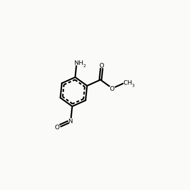 COC(=O)c1cc(N=O)ccc1N